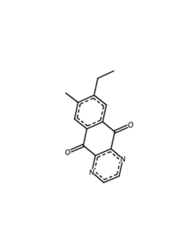 CCc1cc2c(cc1C)C(=O)c1nccnc1C2=O